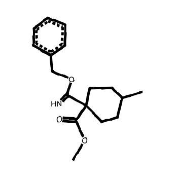 COC(=O)C1(C(=N)OCc2ccccc2)CCC(C)CC1